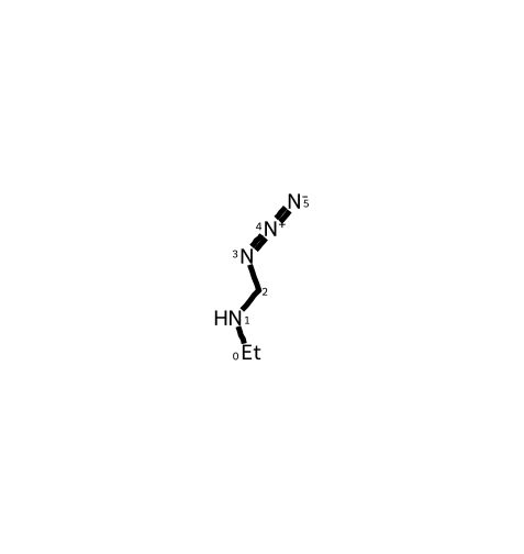 CCNCN=[N+]=[N-]